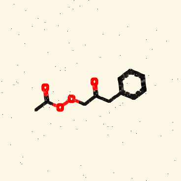 CC(=O)OOCC(=O)Cc1ccccc1